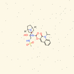 CC(C)n1c(=O)c(OC(=O)N[C@@H]2C[C@H]3CC[C@@H](C2)N3C[C@@H](O)CNS(C)(=O)=O)cc2ccccc21